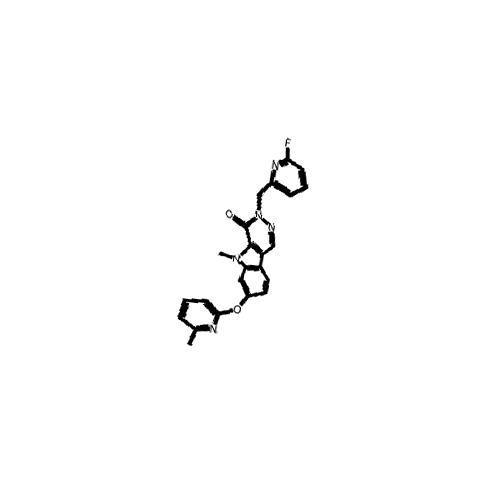 Cc1cccc(Oc2ccc3c4cnn(Cc5cccc(F)n5)c(=O)c4n(C)c3c2)n1